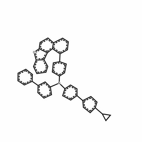 c1ccc(-c2cccc(N(c3ccc(-c4ccc(C5CC5)cc4)cc3)c3ccc(-c4cccc5ccc6oc7ccccc7c6c45)cc3)c2)cc1